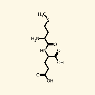 CSCCC(N)C(=O)NC(CCC(=O)O)C(=O)O